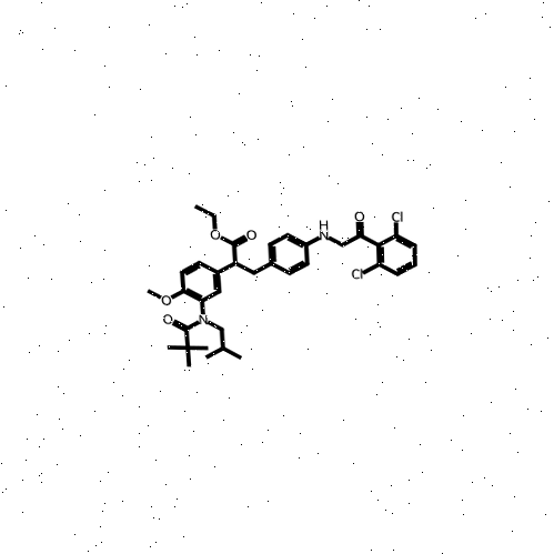 CCOC(=O)C(Cc1ccc(NCC(=O)c2c(Cl)cccc2Cl)cc1)c1ccc(OC)c(N(CC(C)C)C(=O)C(C)(C)C)c1